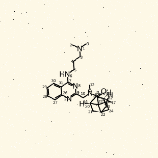 CN(C)CCCNc1nc(CN(C)C(=O)C23[C@@H]4C[C@@H]5C[C@H]2C[C@@]3(C5)C4)nc2ccccc12